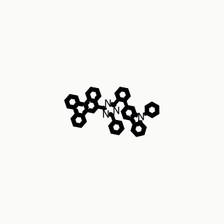 c1ccc(-c2nc(-c3ccccc3-c3ccc4c5ccccc5n(-c5ccccc5)c4c3)nc(-c3cc4c5ccccc5c5ccccc5c4c4ccccc34)n2)cc1